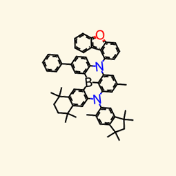 Cc1cc2c3c(c1)N(c1cccc4oc5ccccc5c14)c1ccc(-c4ccccc4)cc1B3c1cc3c(cc1N2c1cc2c(cc1C)C(C)(C)CC2(C)C)C(C)(C)CCC3(C)C